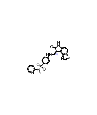 CN(c1ccccn1)S(=O)(=O)c1ccc(N/C=C2\C(=O)Nc3ccc4scnc4c32)cc1